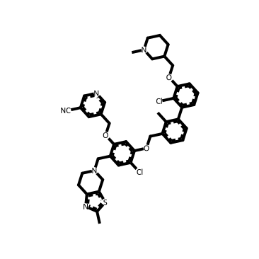 Cc1nc2c(s1)CN(Cc1cc(Cl)c(OCc3cccc(-c4cccc(OCC5CCCN(C)C5)c4Cl)c3C)cc1OCc1cncc(C#N)c1)CC2